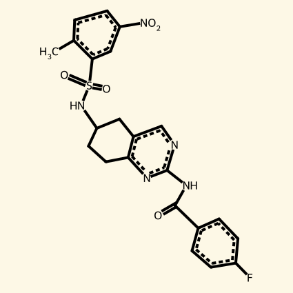 Cc1ccc([N+](=O)[O-])cc1S(=O)(=O)NC1CCc2nc(NC(=O)c3ccc(F)cc3)ncc2C1